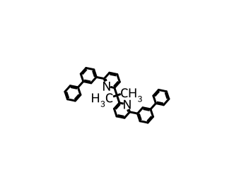 CC(C)(c1cccc(-c2cccc(-c3ccccc3)c2)n1)c1cccc(-c2cccc(-c3ccccc3)c2)n1